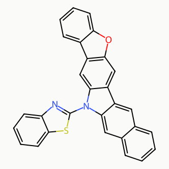 c1ccc2cc3c(cc2c1)c1cc2oc4ccccc4c2cc1n3-c1nc2ccccc2s1